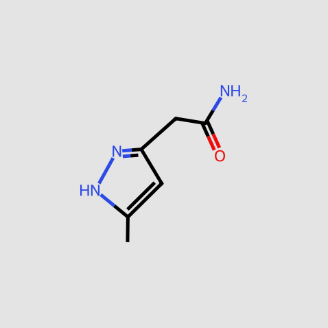 Cc1cc(CC(N)=O)n[nH]1